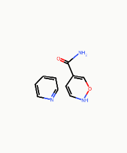 NC(=O)C1=CONC=C1.c1ccncc1